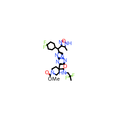 COC(=O)N1CCC(C(=O)NCC(C)(F)F)(c2cnn3cc(C(C4=NONC4C)C4CCC(F)(F)CC4)nc3n2)CC1